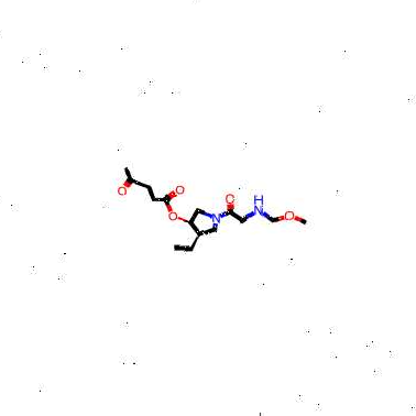 CC[C@@H]1CN(C(=O)CNCOC)C[C@@H]1OC(=O)CCC(C)=O